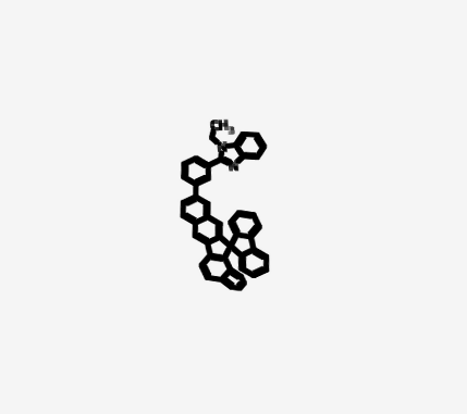 CCn1c(-c2cccc(-c3ccc4cc5c(cc4c3)C3(c4ccccc4-c4ccccc43)c3c-5ccc4ccccc34)c2)nc2ccccc21